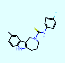 Cc1ccc2[nH]c3c(c2c1)CN(C(=S)Nc1ccc(F)cc1)CCC3